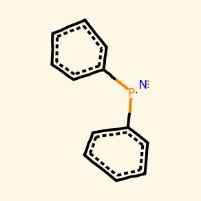 [N].c1ccc([P]c2ccccc2)cc1